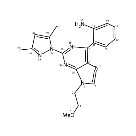 COCCn1cnc2c(-c3ccccc3N)nc(-n3nc(C)cc3C)nc21